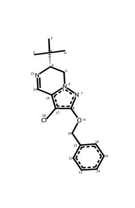 CC(C)(C)[C@@H]1Cn2nc(OCc3ccccc3)c(Cl)c2C=N1